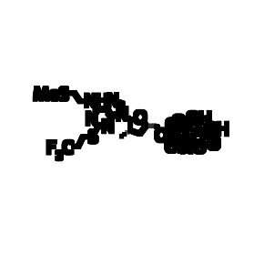 CSCCNc1nc(SCCC(F)(F)F)nc2c1ncn2C1O[C@H](COP(=O)(O)OP(=O)(O)C(Cl)(Cl)P(=O)(O)O)C[C@@H]1C